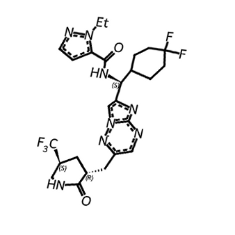 CCn1nccc1C(=O)N[C@H](c1cn2nc(C[C@H]3C[C@H](C(F)(F)F)CNC3=O)cnc2n1)C1CCC(F)(F)CC1